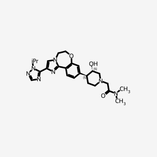 CC(C)n1ncnc1-c1cn2c(n1)-c1ccc([C@@H]3CCN(CC(=O)N(C)C)C[C@H]3O)cc1OCC2